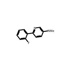 CNc1ccc(-c2ccccc2F)nc1